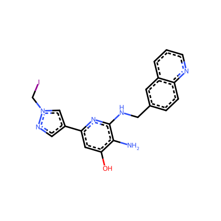 Nc1c(O)cc(-c2cnn(CI)c2)nc1NCc1ccc2ncccc2c1